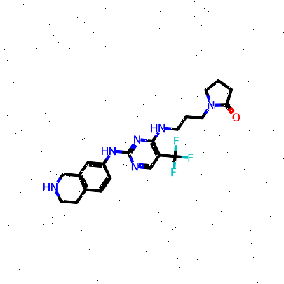 O=C1CCCN1CCCNc1nc(Nc2ccc3c(c2)CNCC3)ncc1C(F)(F)F